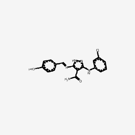 NC(=O)c1c(Nc2cccc(Cl)c2)n[nH]c1N=Cc1ccc(O)cc1